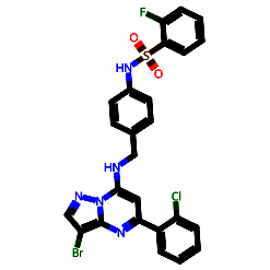 O=S(=O)(Nc1ccc(CNc2cc(-c3ccccc3Cl)nc3c(Br)cnn23)cc1)c1ccccc1F